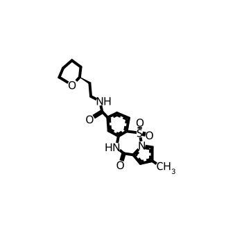 Cc1cc2n(c1)S(=O)(=O)c1ccc(C(=O)NCC[C@@H]3CCCCO3)cc1NC2=O